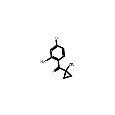 Cc1cc(Cl)ccc1C(=O)C1(C(F)(F)F)CC1